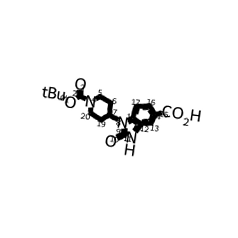 CC(C)(C)OC(=O)N1CCC(n2c(=O)[nH]c3cc(C(=O)O)ccc32)CC1